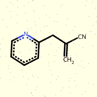 C=C(C#N)Cc1ccccn1